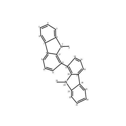 Cn1c2ccccc2c2cccc(-c3cccc4c5ccccc5n(C)c34)c21